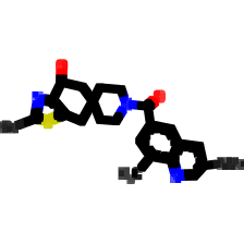 CNc1cnc2c(C)cc(C(=O)N3CCC4(CC3)CC(=O)c3nc(C(C)(C)C)sc3C4)cc2c1